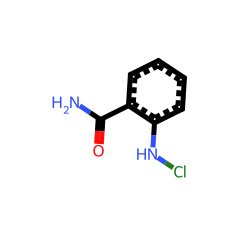 NC(=O)c1ccccc1NCl